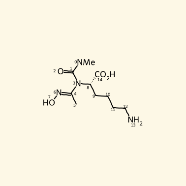 CNC(=O)N(/C(C)=N/O)[C@@H](CCCCN)C(=O)O